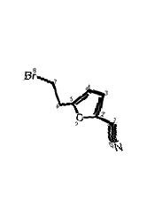 N#Cc1ccc(CCBr)o1